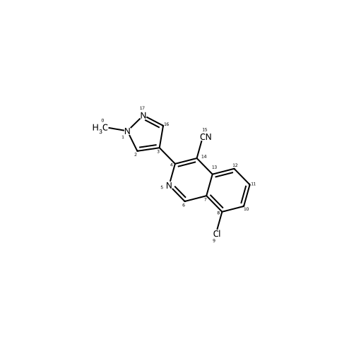 Cn1cc(-c2ncc3c(Cl)cccc3c2C#N)cn1